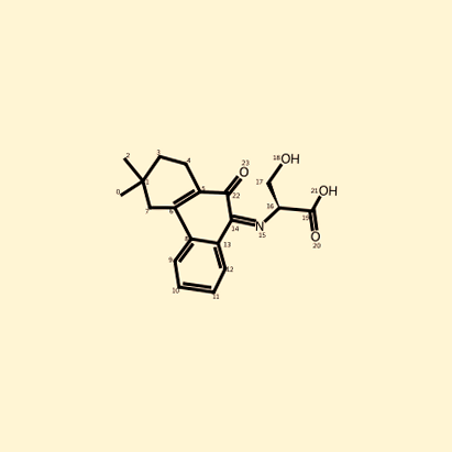 CC1(C)CCC2=C(C1)c1ccccc1/C(=N/[C@@H](CO)C(=O)O)C2=O